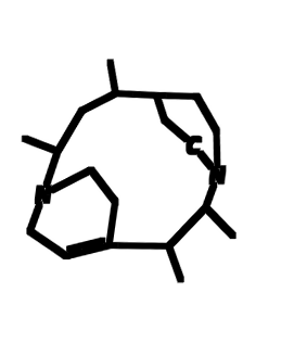 CC1CC(C)N2CC=C(CC2)C(C)C(C)N2CCC1CC2